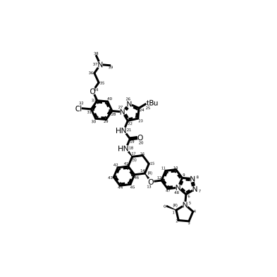 C[C@@H]1CCCN1c1nnc2ccc(O[C@@H]3CC[C@H](NC(=O)Nc4cc(C(C)(C)C)nn4-c4ccc(Cl)c(OCCN(C)C)c4)c4ccccc43)cn12